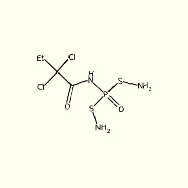 CCC(Cl)(Cl)C(=O)NP(=O)(SN)SN